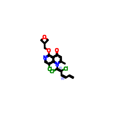 C=C/C=C\C(Cl)=C(/Cl)n1c(C)cc(=O)c2c(OCC3COC3)ncc(Cl)c21